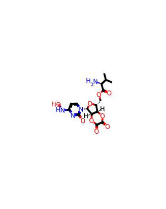 CC(C)[C@H](N)C(=O)OC[C@H]1O[C@@H](n2ccc(NO)nc2=O)[C@@H]2OC(=O)C(=O)O[C@@H]21